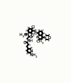 Cc1cc(N2CCOCC2)c2cccc(OCc3c(Cl)ccc(N(C)C(=O)CNC(=O)/C=C/c4ccc(N)nc4)c3Cl)c2n1